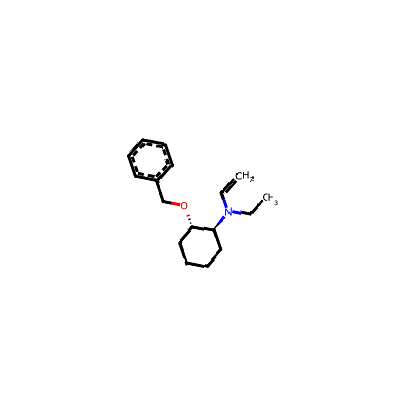 C=CN(CC)[C@H]1CCCC[C@@H]1OCc1ccccc1